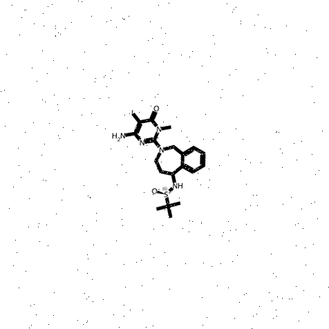 Cn1c(N2CCC(N[S@+]([O-])C(C)(C)C)c3ccccc3C2)nc(N)c(I)c1=O